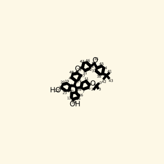 CC(C)(C)Oc1ccc(C(c2ccc(O)cc2)C(c2ccc(O)cc2)c2ccc(Oc3ccc(C(=O)c4ccc(C(C)(C)C)cc4)cc3)cc2)cc1